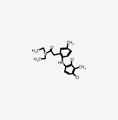 CCN(CC)C(=O)Cc1cc(C)ccc1Nc1ccc(Cl)c(C)c1Cl